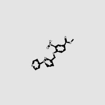 COC(=O)c1ccc(SCc2ccn(-c3ccncc3)n2)c([N+](=O)[O-])c1